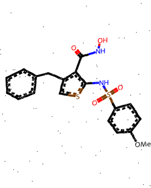 COc1ccc(S(=O)(=O)Nc2scc(Cc3ccccc3)c2C(=O)NO)cc1